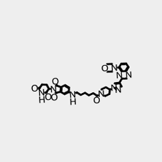 O=C1CCC(N2C(=O)c3ccc(NCCCCCC(=O)N4CCC(n5cc(-c6cnc7cccc(N8CCOCC8)c7n6)cn5)CC4)cc3C2=O)C(=O)N1